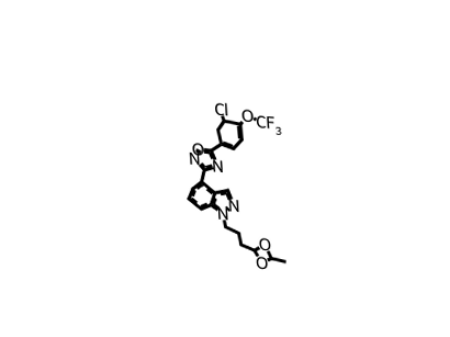 CC1OC(CCCn2ncc3c(-c4noc(C5=CC=C(OC(F)(F)F)C(Cl)C5)n4)cccc32)O1